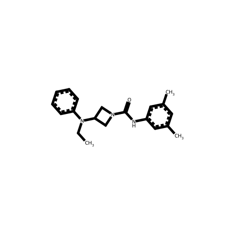 CCN(c1ccccc1)C1CN(C(=O)Nc2cc(C)cc(C)c2)C1